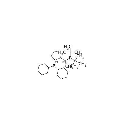 C[C@@H](C1CCC[C@H]1P(C1CCCCC1)C1CCCCC1)P(C(C)(C)C)C(C)(C)C